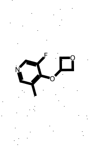 Cc1cncc(F)c1OC1COC1